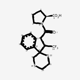 O=C(O)[C@@H]1CCCN1C(=O)CC(C(F)(F)F)C1(c2ccccc2)CSCCS1